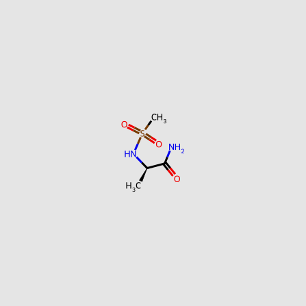 C[C@@H](NS(C)(=O)=O)C(N)=O